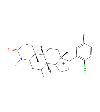 [CH]c1ccc(Cl)c(C2CC[C@H]3[C@@H]4C(C)CC5N(C)C(=O)CC[C@]5(C)[C@@H]4CC[C@]23C)c1